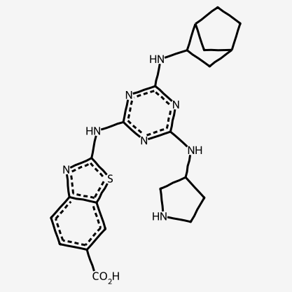 O=C(O)c1ccc2nc(Nc3nc(NC4CCNC4)nc(NC4CC5CCC4C5)n3)sc2c1